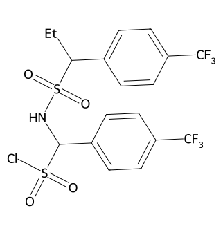 CCC(c1ccc(C(F)(F)F)cc1)S(=O)(=O)NC(c1ccc(C(F)(F)F)cc1)S(=O)(=O)Cl